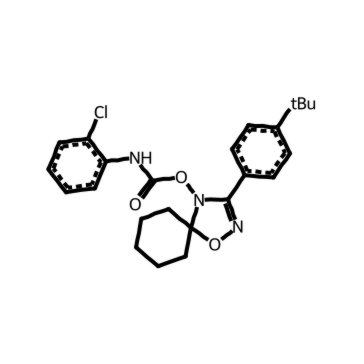 CC(C)(C)c1ccc(C2=NOC3(CCCCC3)N2OC(=O)Nc2ccccc2Cl)cc1